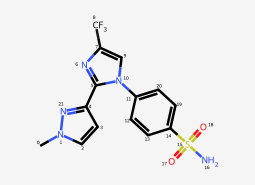 Cn1ccc(-c2nc(C(F)(F)F)cn2-c2ccc(S(N)(=O)=O)cc2)n1